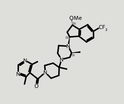 CO[C@H]1C[C@H](N2CCN(C3(C)CCN(C(=O)c4c(C)ncnc4C)CC3)C[C@@H]2C)c2ccc(C(F)(F)F)cc21